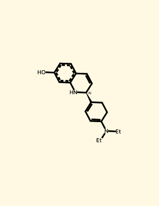 CCN(CC)C1=CC=C([C@@H]2C=Cc3ccc(O)cc3N2)CC1